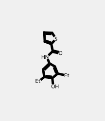 CCc1cc(NC(=O)c2cccs2)cc(CC)c1O